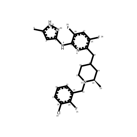 Cc1cc(Nc2nc(CC3CCN(Cc4cccc(Cl)c4F)[C@H](C)C3)c(F)cc2F)n[nH]1